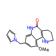 COc1cc(Cn2[c]cc[c]2)cc2[nH]c(=O)c3c(c12)NCCC3